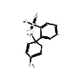 NC1=CCC(N)(c2ccccc2S(=O)(=O)O)C=C1